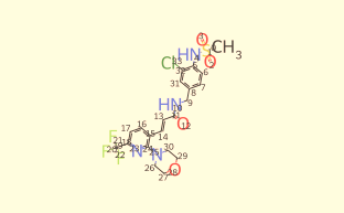 CS(=O)(=O)Nc1ccc(CNC(=O)/C=C/c2ccc(C(F)(F)F)nc2N2CCOCC2)cc1Cl